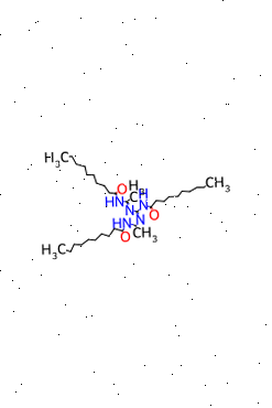 CCCCCCCCCC(=O)NC(=N/C(C)NC(=O)CCCCCCCCC)/N=C(\C)NC(=O)CCCCCCCCC